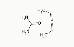 CC=C=CC.NC(N)=O